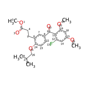 COC(=O)CCc1cc(C(=O)c2c(F)cc(OC)cc2OC)ccc1OCC(C)C